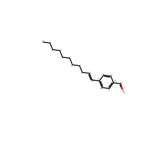 CCCCCCCCCC=Cc1ccc([C]=O)cc1